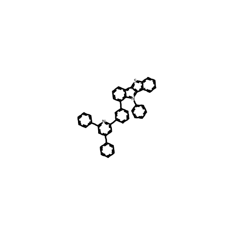 c1ccc(-c2cc(-c3ccccc3)nc(-c3cccc(-c4cccc5c6sc7ccccc7c6n(-c6ccccc6)c45)c3)c2)cc1